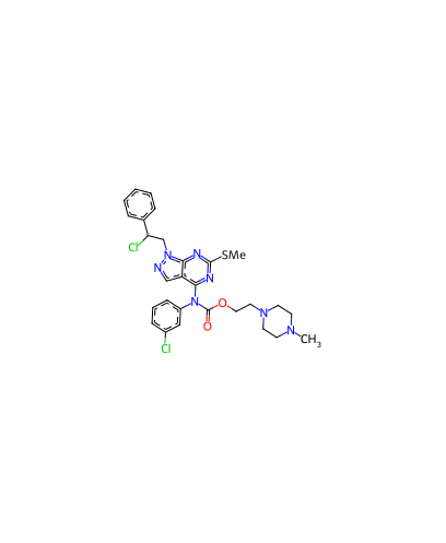 CSc1nc(N(C(=O)OCCN2CCN(C)CC2)c2cccc(Cl)c2)c2cnn(CC(Cl)c3ccccc3)c2n1